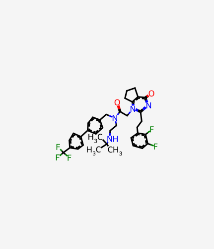 CC(C)(C)NCCN(Cc1ccc(-c2ccc(C(F)(F)F)cc2)cc1)C(=O)Cn1c(CCc2cccc(F)c2F)nc(=O)c2c1CCC2